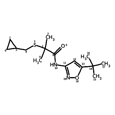 CC(C)(SCC1CC1)C(=O)Nc1cc(C(C)(C)C)on1